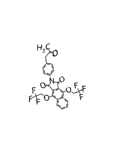 CC(=O)Cc1ccc(N2C(=O)c3c(c(OCC(F)(F)F)c4ccccc4c3OCC(F)(F)F)C2=O)cc1